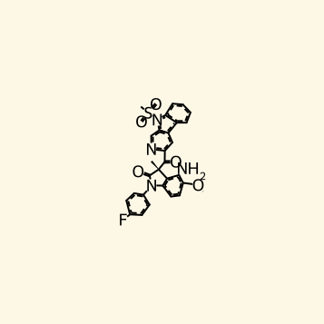 COc1ccc2c(c1N)[C@@](C)(C(=O)c1cc3c4ccccc4n(S(C)(=O)=O)c3cn1)C(=O)N2c1ccc(F)cc1